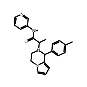 Cc1ccc(C2c3cccn3CCN2C(C)C(=O)Nc2cccnc2)cc1